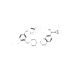 CCCCCCc1cn(Cc2ccc(OC(F)(F)F)c(CN3CCC([C@H]4CCc5ccc(C(C6CC6)C(C)C(=O)O)cc5O4)CC3)c2)nn1